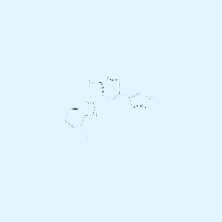 Cn1cc(-c2cnc(N)c(-c3nc4cccc(CO)c4[nH]3)c2)cn1